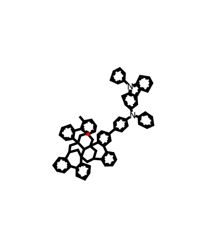 Cc1ccccc1-c1ccccc1C12CCCC34CC(CC5(CC(C1)c1ccccc1-c1ccccc15)C23)c1ccccc1-c1cc(-c2ccc(N(c3ccccc3)c3ccc5c(c3)c3ccccc3n5-c3ccccc3)cc2)ccc14